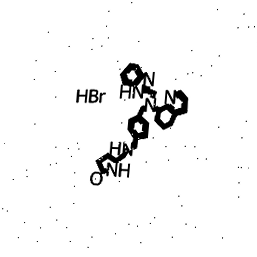 Br.O=C1CCC(CNCc2ccc(CN(Cc3nc4ccccc4[nH]3)C3CCCc4cccnc43)cc2)N1